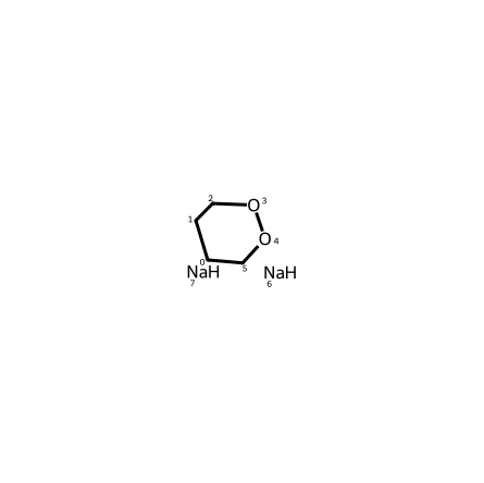 C1CCOOC1.[NaH].[NaH]